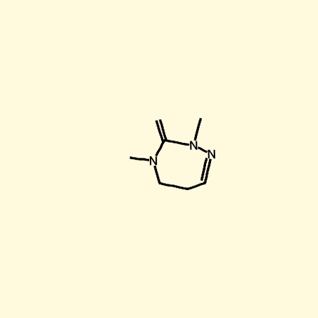 C=C1N(C)CCC=NN1C